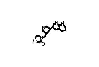 CN1CCCc2cc(-c3cncc(CN4CCOCC4=O)c3)cnc21